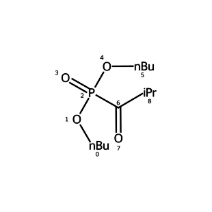 CCCCOP(=O)(OCCCC)C(=O)C(C)C